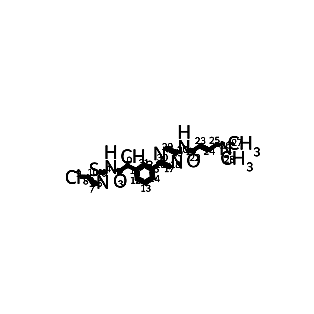 C[C@H](C(=O)Nc1ncc(Cl)s1)c1cccc(-c2cnc(NC(=O)/C=C/CN(C)C)cn2)c1